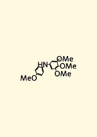 COc1ccc(Nc2cc(OC)c(OC)c(OC)c2)cc1